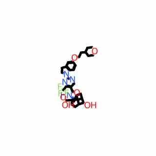 O=C(NC1(C(=O)O)C2CC3C(O)C4CC1C34C2)c1cnc(N2CCc3cc(OCCC4CCOCC4)ccc32)nc1C(F)(F)F